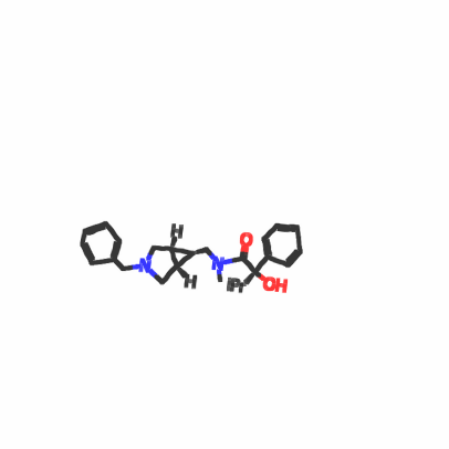 CC(C)[C@@](O)(C(=O)N(C)C[C@H]1[C@@H]2CN(Cc3ccccc3)C[C@@H]21)c1ccccc1